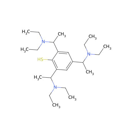 CCN(CC)C(C)c1cc(C(C)N(CC)CC)c(S)c(C(C)N(CC)CC)c1